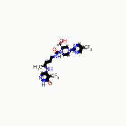 C[C@@H](/C=C/CNC(=O)N1CCN(c2ncc(C(F)(F)F)cn2)C[C@H]1CO)Nc1cn[nH]c(=O)c1C(F)(F)F